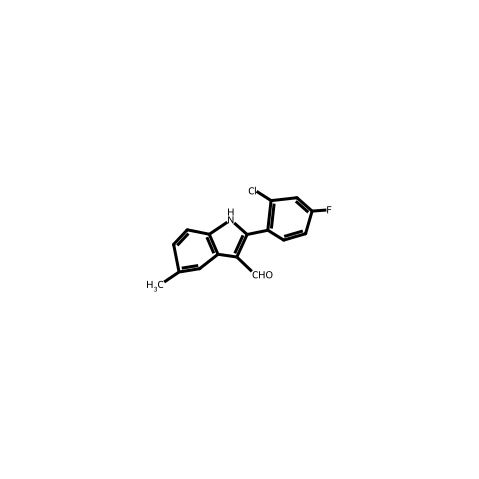 Cc1ccc2[nH]c(-c3ccc(F)cc3Cl)c(C=O)c2c1